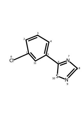 Clc1cccc(-c2n[c]ns2)c1